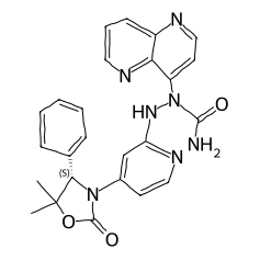 CC1(C)OC(=O)N(c2ccnc(NN(C(N)=O)c3ccnc4cccnc34)c2)[C@H]1c1ccccc1